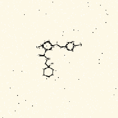 O=C(NCC1(O)CCCCC1)c1cc(NCc2ccc(Cl)nn2)ccc1Cl